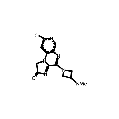 CNC1CN(C2=Nc3cnc(Cl)cc3N3CC(=O)N=C23)C1